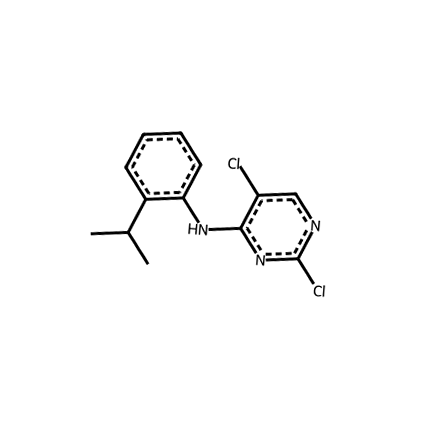 CC(C)c1ccccc1Nc1nc(Cl)ncc1Cl